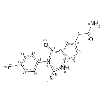 NC(=O)Cc1ccc2[nH]c(=S)n(-c3ccc(F)cc3)c(=O)c2c1